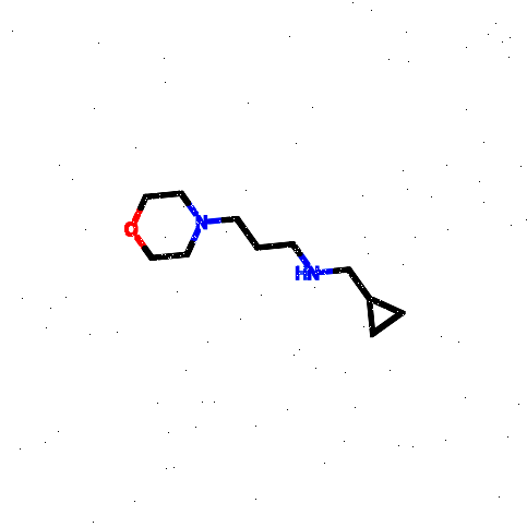 C(CNCC1CC1)CN1CCOCC1